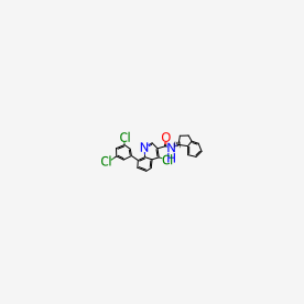 O=C(N[C@H]1CCc2ccccc21)c1cnc2c(-c3cc(Cl)cc(Cl)c3)cccc2c1Cl